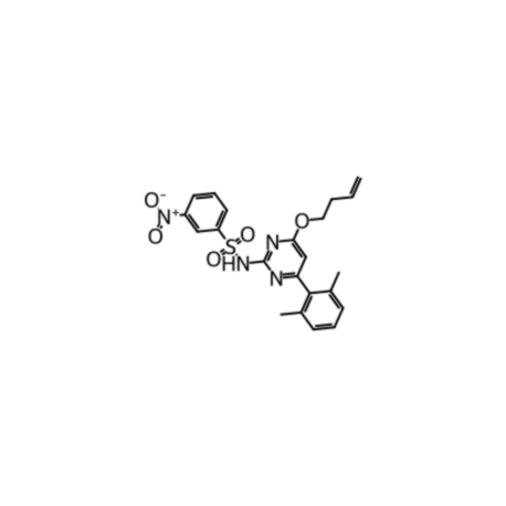 C=CCCOc1cc(-c2c(C)cccc2C)nc(NS(=O)(=O)c2cccc([N+](=O)[O-])c2)n1